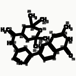 C=C(Nc1cncc(-c2ccc3c(=O)[nH]c(C)nc3c2)c1)C1CC(C)(C)OC(C)(C)C1